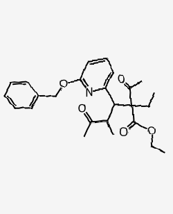 CCOC(=O)C(CC)(C(C)=O)C(c1cccc(OCc2ccccc2)n1)C(C)C(C)=O